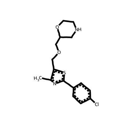 Cc1nc(-c2ccc(Cl)cc2)sc1COCC1CNCCO1